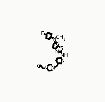 CN(c1ccc(F)cc1)c1ccc2nc(Nc3ccc(CN4CCN(CC=O)CC4)cn3)sc2n1